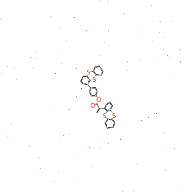 C=C(C(=O)Oc1ccc(-c2cccc3c2Sc2ccccc2S3)cc1)c1cccc2c1Sc1ccccc1S2